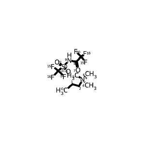 CCC[N+](C)(C)C.O=C(NS(=O)(=O)C(F)(F)F)C(F)(F)F